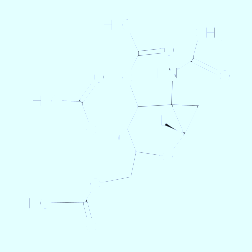 CC(=O)NC12C[C@@H]1OC(COC(C)=O)[C@H](OC(C)=O)C2OC(C)=O